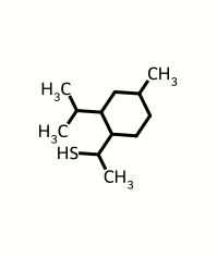 CC1CCC(C(C)S)C(C(C)C)C1